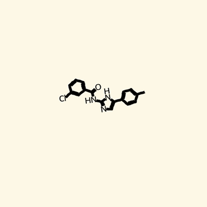 Cc1ccc(-c2cnc(NC(=O)c3cccc(Cl)c3)[nH]2)cc1